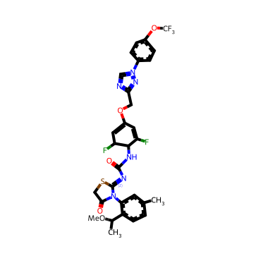 COC(C)c1ccc(C)cc1N1C(=O)CS/C1=N\C(=O)NC1C(F)=CC(OCc2ncn(-c3ccc(OC(F)(F)F)cc3)n2)=CC1F